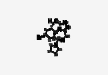 Cc1nnc2n1-c1ccc(Br)cc1C(N1CCCC1)=NC2